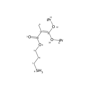 CC(C(=O)OCCC[SiH3])=C(OC(C)C)OC(C)C